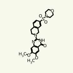 COc1cc2nc(N3CCc4ccc(S(=O)(=O)N5CCOCC5)cc4C3)[nH]c(=O)c2cc1OC